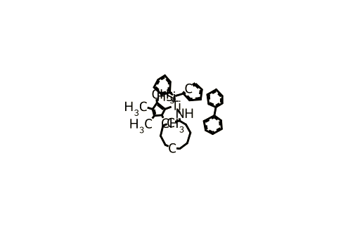 CC1=C(C)C(C)[C]([Ti]([NH]C2CCCCCCCCC2)[SiH](c2ccccc2)c2ccccc2)=C1C.c1ccc(-c2ccccc2)cc1